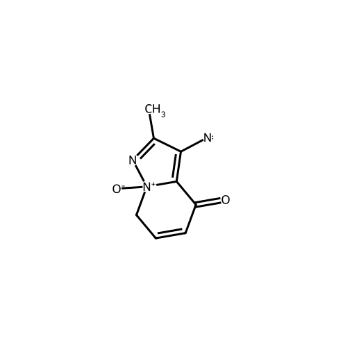 CC1=N[N+]2([O-])CC=CC(=O)C2=C1[N]